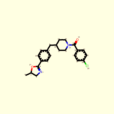 CC1CN=C(c2ccc(CC3CCN(C(=O)c4ccc(Cl)cc4)CC3)cc2)O1